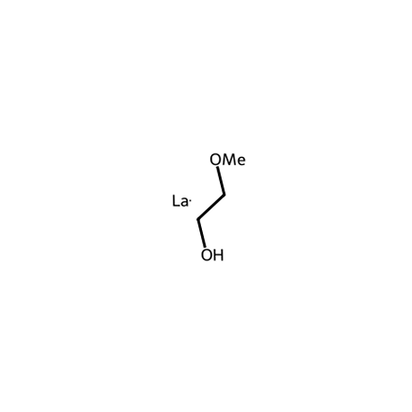 COCCO.[La]